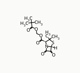 CC(C)(C)C(=O)OCOC(=O)[C@@H]1N2C(=O)C(=O)[C@H]2SC1(C)C